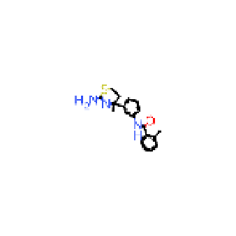 Cc1ccccc1C(=O)Nc1cccc(C2(C)CCSC(N)=N2)c1